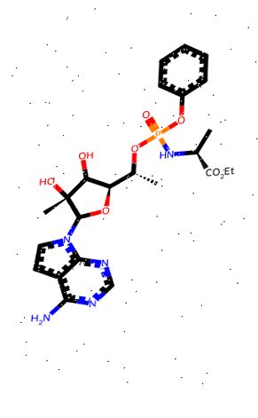 CCOC(=O)[C@H](C)NP(=O)(Oc1ccccc1)O[C@H](C)[C@H]1OC(n2ccc3c(N)ncnc32)[C@](C)(O)C1O